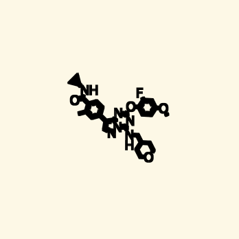 COc1ccc(Oc2nc(NCC3CCOCC3)n3ncc(-c4ccc(C(=O)NC5CC5)c(C)c4)c3n2)c(F)c1